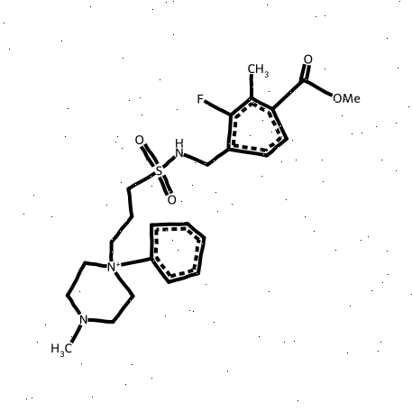 COC(=O)c1ccc(CNS(=O)(=O)CCC[N+]2(c3ccccc3)CCN(C)CC2)c(F)c1C